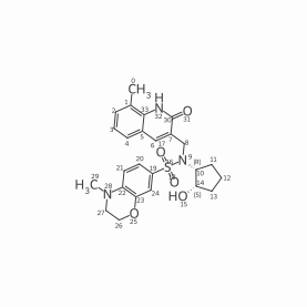 Cc1cccc2cc(CN([C@@H]3CCC[C@@H]3O)S(=O)(=O)c3ccc4c(c3)OCCN4C)c(=O)[nH]c12